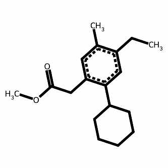 CCc1cc(C2CCCCC2)c(CC(=O)OC)cc1C